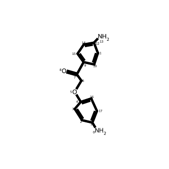 Nc1ccc(OCC(=O)c2ccc(N)cc2)cc1